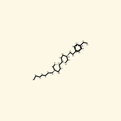 CCCCCCC[C@H]1CC[C@H]([C@H]2CC[C@H](CCc3ccc(CC)cc3)CC2)CC1